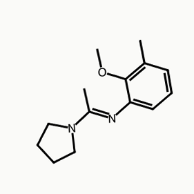 COc1c(C)cccc1N=C(C)N1CCCC1